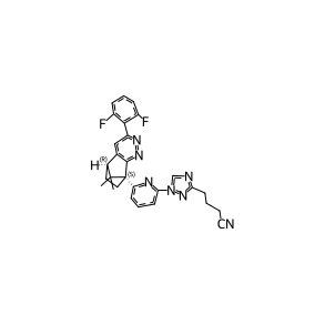 CC1(C)[C@H]2CC[C@]1(c1cccc(-n3cnc(CCCC#N)n3)n1)c1nnc(-c3c(F)cccc3F)cc12